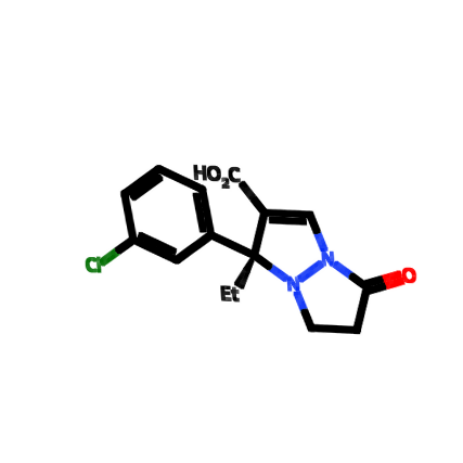 CC[C@@]1(c2cccc(Cl)c2)C(C(=O)O)=CN2C(=O)CCN21